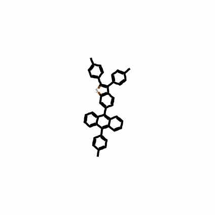 Cc1ccc(-c2sc3cc(-c4c5ccccc5c(-c5ccc(C)cc5)c5ccccc45)ccc3c2-c2ccc(C)cc2)cc1